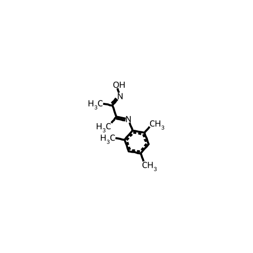 CC(=NO)C(C)=Nc1c(C)cc(C)cc1C